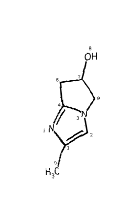 Cc1cn2c(n1)CC(O)C2